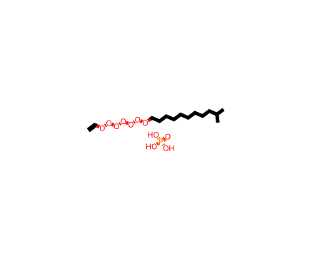 C=COOOOOOOCCCCCCCCCC(C)C.O=P(O)(O)O